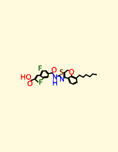 CCCCCCc1cccc2c1OCc1sc(NC(=O)c3cc(F)c(/C=C(\C)C(=O)O)c(F)c3)nc1-2